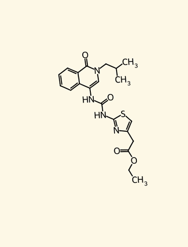 CCOC(=O)Cc1csc(NC(=O)Nc2cn(CC(C)C)c(=O)c3ccccc23)n1